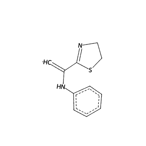 [CH]=C(Nc1ccccc1)C1=NCCS1